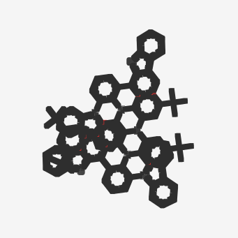 CC(C)(C)c1cc(-c2cc3c4c(c2)N(c2c(-c5cccc6c5oc5ccccc56)cccc2-n2c5ccccc5c5ccccc52)c2ccc(C(C)(C)C)cc2B4c2cc(C(C)(C)C)ccc2N3c2c(-c3cccc4c3oc3ccccc34)cccc2-n2c3ccccc3c3ccccc32)cc(C(C)(C)C)c1